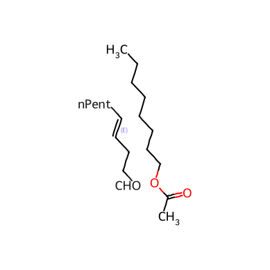 CCCCC/C=C/CCC=O.CCCCCCCCOC(C)=O